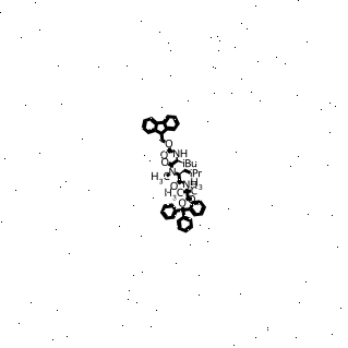 CC[C@H](C)[C@H](NC(=O)OCC1c2ccccc2-c2ccccc21)C(=O)N(C)[C@@H](CC(C)C)C(=O)NC(C)(C)C(=O)OC(c1ccccc1)(c1ccccc1)c1ccccc1